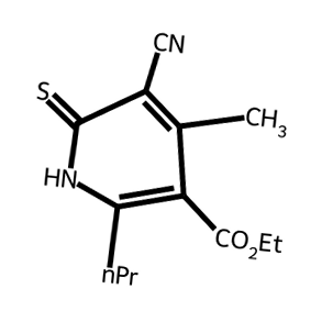 CCCc1[nH]c(=S)c(C#N)c(C)c1C(=O)OCC